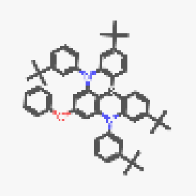 CC(C)(C)c1cccc(N2c3cc(C(C)(C)C)ccc3B3c4ccc(C(C)(C)C)cc4N(c4cccc(C(C)(C)C)c4)c4cc(Oc5ccccc5)cc2c43)c1